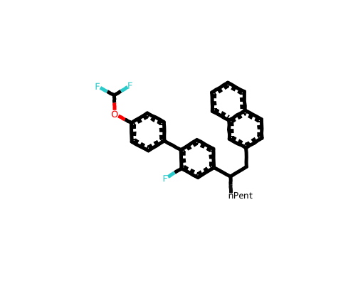 CCCCCC(Cc1ccc2ccccc2c1)c1ccc(-c2ccc(OC(F)F)cc2)c(F)c1